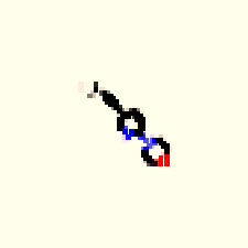 CC#Cc1ccc(N2CCOCC2)nc1